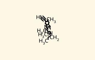 C=C(CCC)n1ncc(N(C)c2ncc3cc(C)c(N4CCNCC4)cc3n2)c1C